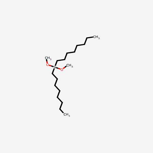 CCCCCCCC[Si](CCCCCCCC)(OC)OC